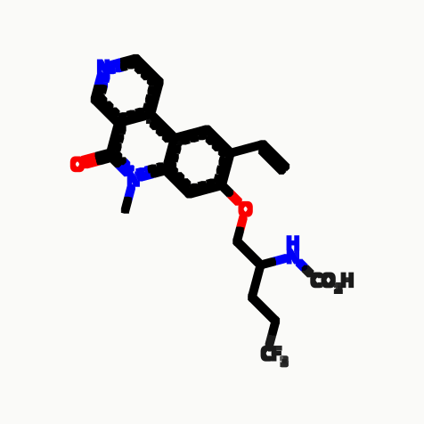 C=Cc1cc2c3ccncc3c(=O)n(C)c2cc1OCC(CCC(F)(F)F)NC(=O)O